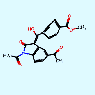 COC(=O)c1ccc(/C(O)=C2/C(=O)N(C(C)=O)c3ccc(C(C)=O)cc32)cc1